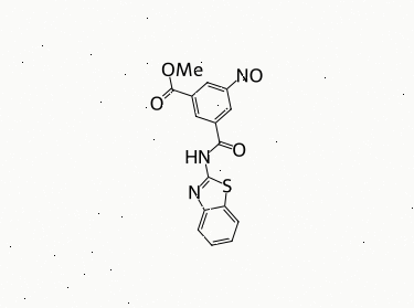 COC(=O)c1cc(N=O)cc(C(=O)Nc2nc3ccccc3s2)c1